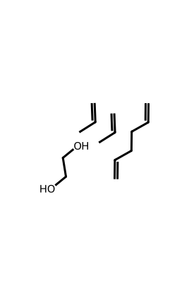 C=CC.C=CC.C=CCCC=C.OCCO